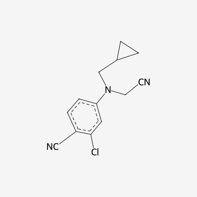 N#CCN(CC1CC1)c1ccc(C#N)c(Cl)c1